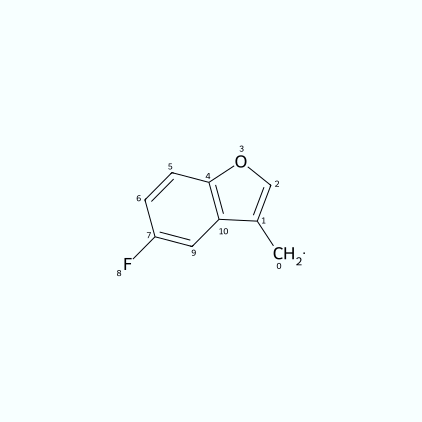 [CH2]c1coc2ccc(F)cc12